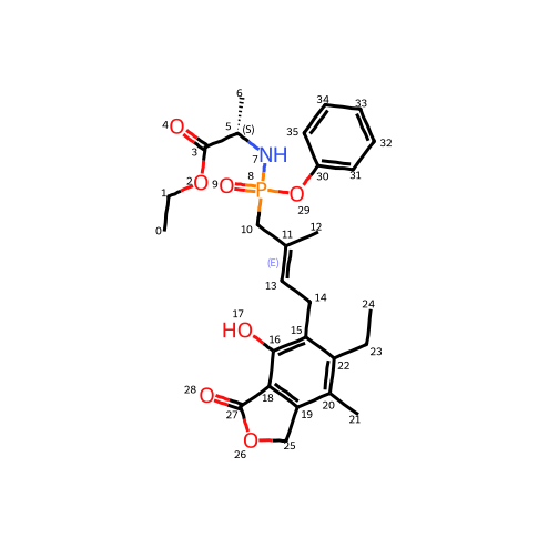 CCOC(=O)[C@H](C)NP(=O)(C/C(C)=C/Cc1c(O)c2c(c(C)c1CC)COC2=O)Oc1ccccc1